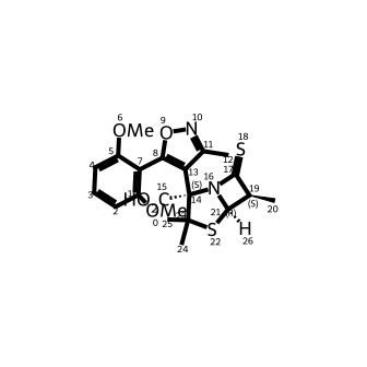 COc1cccc(OC)c1-c1onc(C)c1[C@@]1(C(=O)O)N2C(=S)[C@@H](C)[C@H]2SC1(C)C